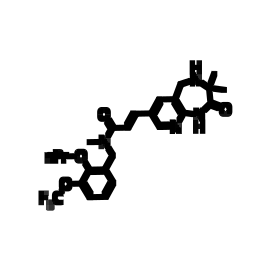 CCCOc1c(CN(C)C(=O)/C=C/c2cnc3c(c2)CNC(C)(C)C(=O)N3)cccc1OC(F)(F)F